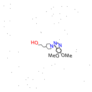 COc1cc2ncnc(N3CCC(CCCO)CC3)c2cc1OC